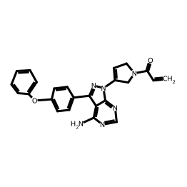 C=CC(=O)N1CC=C(n2nc(-c3ccc(Oc4ccccc4)cc3)c3c(N)ncnc32)C1